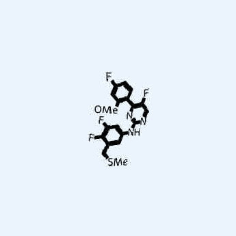 COc1cc(F)ccc1-c1nc(Nc2cc(F)c(F)c(CSC)c2)ncc1F